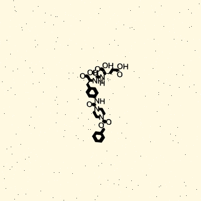 O=C(O)CC[C@H](NC(=O)N[C@@H](Cc1ccc(NC(=O)N2CCN(C(=O)OCc3ccccc3)CC2)cc1)C(=O)O)C(=O)O